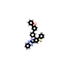 C1=C(c2ccc3oc4ccccc4c3c2)C=C2c3c4c(cc5c6nc7ccccc7nc6n(c35)C2C1)sc1ccccc14